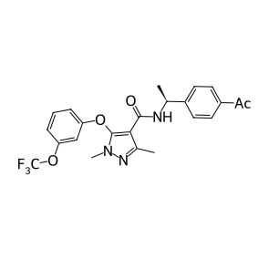 CC(=O)c1ccc([C@H](C)NC(=O)c2c(C)nn(C)c2Oc2cccc(OC(F)(F)F)c2)cc1